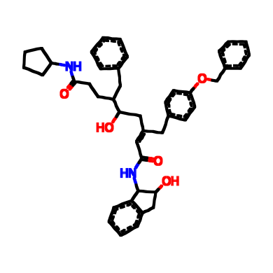 O=C(/C=C(\Cc1ccc(OCc2ccccc2)cc1)CC(O)C(CCC(=O)NC1CCCC1)Cc1ccccc1)NC1c2ccccc2CC1O